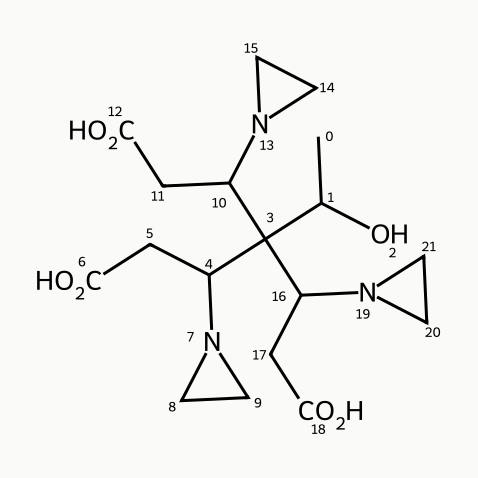 CC(O)C(C(CC(=O)O)N1CC1)(C(CC(=O)O)N1CC1)C(CC(=O)O)N1CC1